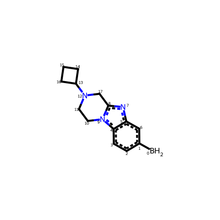 Bc1ccc2c(c1)nc1n2CCN(C2CCC2)C1